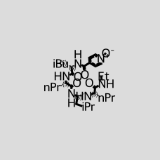 CCC[C@H](NC[C@H](CC(C)C)NC(=O)[C@H](CCC)NC(=O)[C@@H](NC(=O)c1cc[n+]([O-])cc1)[C@@H](C)CC)C(=O)NCC